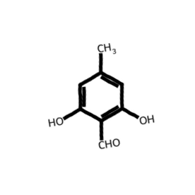 Cc1cc(O)c(C=O)c(O)c1